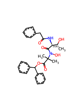 C[C@@H](O)[C@H](NC(=O)Cc1ccccc1)C(=O)N(O)C(C)(C)C(=O)OC(c1ccccc1)c1ccccc1